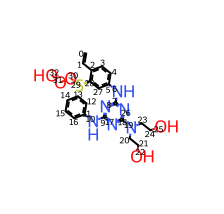 C=Cc1ccc(Nc2nc(Nc3ccccc3)nc(N(CCO)CCO)n2)cc1SOOO